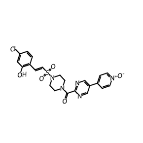 O=C(c1ncc(-c2cc[n+]([O-])cc2)cn1)N1CCN(S(=O)(=O)C=Cc2ccc(Cl)cc2O)CC1